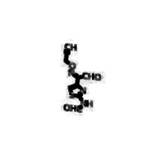 C#CCON=C([C]=O)c1csc(NC=O)n1